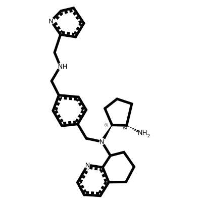 N[C@H]1CCC[C@@H]1N(Cc1ccc(CNCc2ccccn2)cc1)C1CCCc2cccnc21